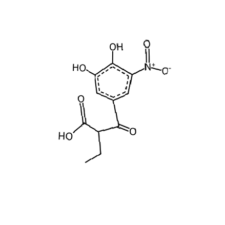 CCC(C(=O)O)C(=O)c1cc(O)c(O)c([N+](=O)[O-])c1